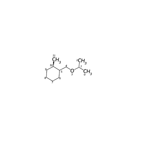 CC(C)OCC1CCCC[C@H]1C